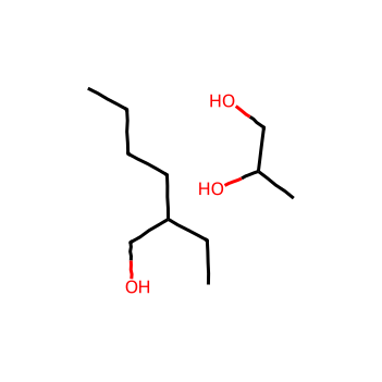 CC(O)CO.CCCCC(CC)CO